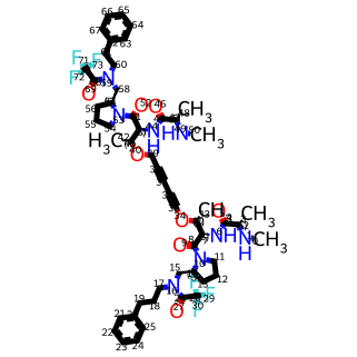 CN[C@@H](C)C(=O)N[C@H](C(=O)N1CCC[C@H]1CN(CCCc1ccccc1)C(=O)C(F)(F)F)[C@@H](C)OC#CC#CCO[C@H](C)[C@H](NC(=O)[C@H](C)NC)C(=O)N1CCC[C@H]1CN(CCc1ccccc1)C(=O)C(F)(F)F